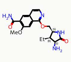 CC[C@@H]1[C@H](N)C(=O)N[C@@H]1COc1nccc2cc(C(N)=O)c(OC)cc12